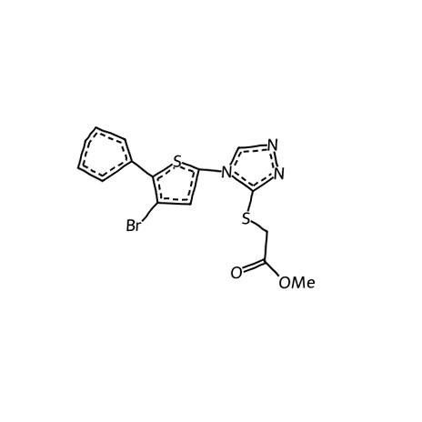 COC(=O)CSc1nncn1-c1cc(Br)c(-c2ccccc2)s1